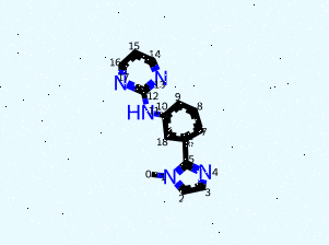 Cn1ccnc1-c1cccc(Nc2ncccn2)c1